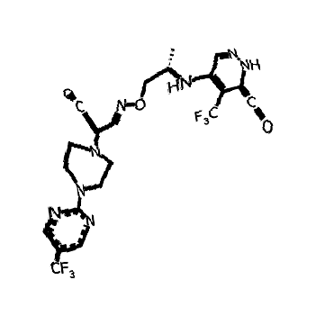 C[C@@H](CO/N=C/C(=C=O)N1CCN(c2ncc(C(F)(F)F)cn2)CC1)NC1=C(C(F)(F)F)C(=C=O)NN=C1